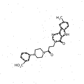 Cc1ccc2[nH]c3c(=O)n(CCC(=O)N4CCN(c5cccc(C(=O)O)c5)CC4)cnc3c2c1